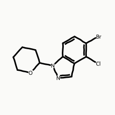 Clc1c(Br)ccc2c1cnn2C1CCCCO1